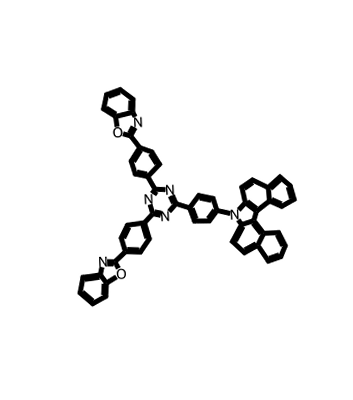 c1ccc2c(c1)ccc1c2c2c3ccccc3ccc2n1-c1ccc(-c2nc(-c3ccc(-c4nc5ccccc5o4)cc3)nc(-c3ccc(-c4nc5ccccc5o4)cc3)n2)cc1